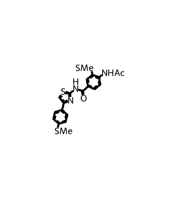 CSc1ccc(-c2csc(NC(=O)c3ccc(NC(C)=O)c(SC)c3)n2)cc1